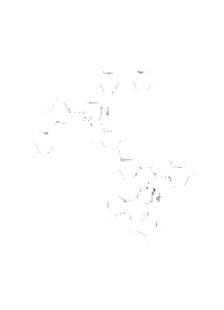 c1ccc(-c2cccc(-c3cc(-c4cccc(-c5ccccc5)c4)nc(-c4ccc(-c5ccc6c(c5)cc(-c5ccccc5)n5nc(-c7ccccc7)c(-c7ccccc7)c65)cc4)n3)c2)cc1